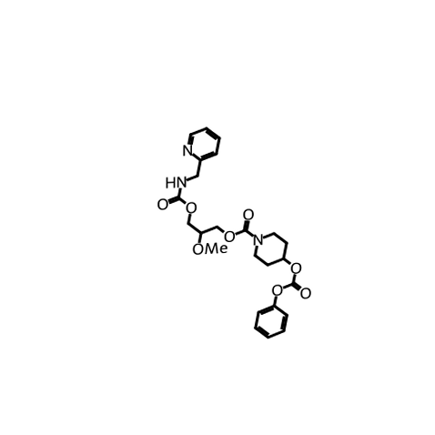 COC(COC(=O)NCc1ccccn1)COC(=O)N1CCC(OC(=O)Oc2ccccc2)CC1